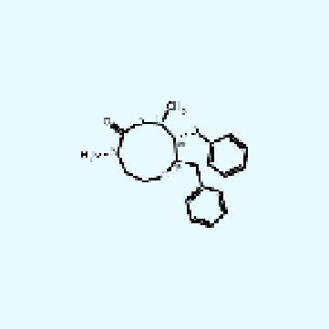 C[C@@H]1OC(=O)[C@@H](N)CCO[C@H](Cc2ccccc2)[C@H]1Oc1ccccc1